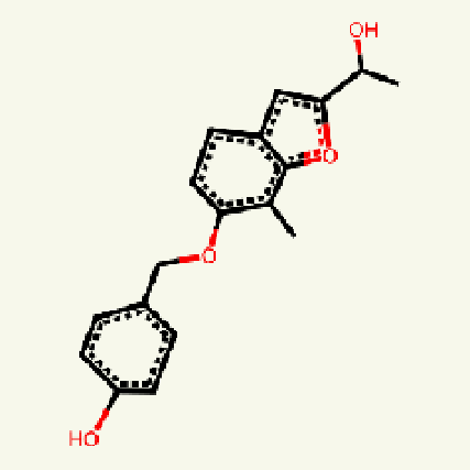 Cc1c(OCc2ccc(O)cc2)ccc2cc(C(C)O)oc12